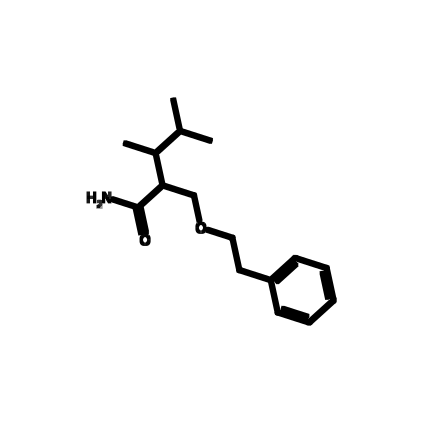 CC(C)C(C)C(COCCc1ccccc1)C(N)=O